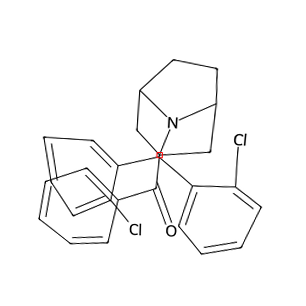 O=C(c1ccccc1)C1CC2CCC(C1)N2C(c1ccccc1Cl)c1ccccc1Cl